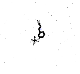 N#C/C=C/c1cccc(OC(F)(F)F)c1